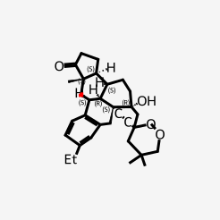 CCc1ccc2c(c1)C[C@]13CCC4(CC(C)(C)COO4)C[C@]1(O)CC[C@@H]1[C@@H]3[C@@H]2C[C@]2(C)C(=O)CC[C@@H]12